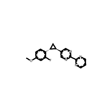 COc1ccc([C@@H]2C[C@H]2c2cnc(-c3ncccn3)nc2)c(F)c1